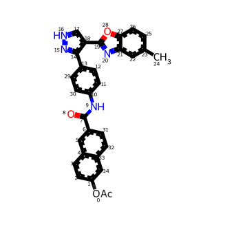 CC(=O)Oc1ccc2cc(C(=O)Nc3ccc(-c4n[nH]cc4-c4nc5cc(C)ccc5o4)cc3)ccc2c1